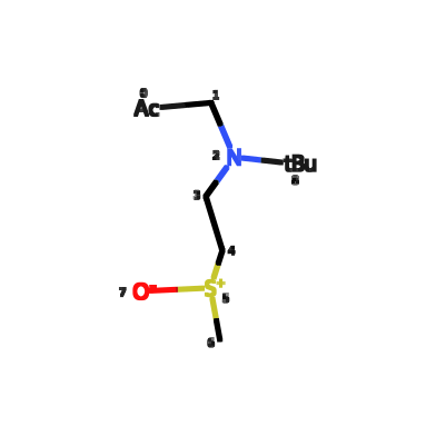 CC(=O)CN(CC[S+](C)[O-])C(C)(C)C